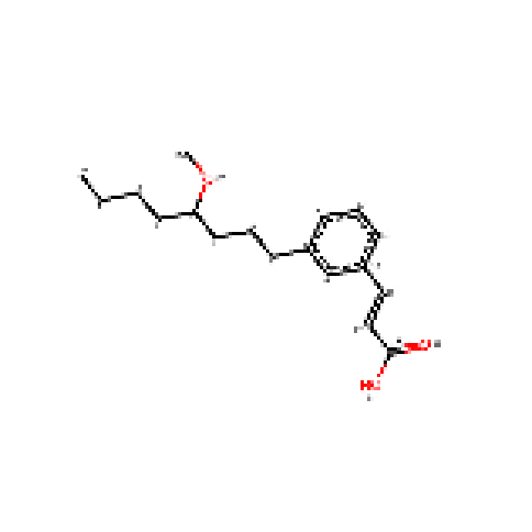 CCCCC(CCCc1cccc(C=CC(=O)O)c1)OC